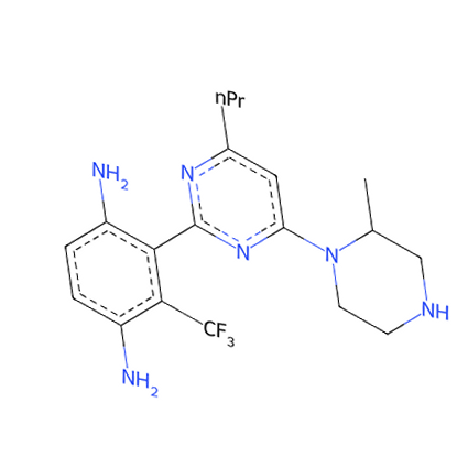 CCCc1cc(N2CCNCC2C)nc(-c2c(N)ccc(N)c2C(F)(F)F)n1